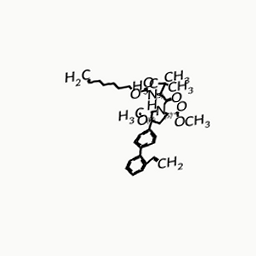 C=CCCCCCOC(=O)N[C@H](C(=O)N1C[C@](OC)(c2ccc(-c3ccccc3C=C)cc2)C[C@H]1C(=O)OC)C(C)(C)C